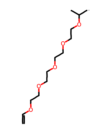 [CH2]C(C)OCCOCCOCCOCCOC=C